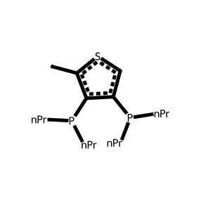 CCCP(CCC)c1csc(C)c1P(CCC)CCC